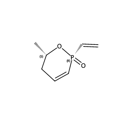 C=C[P@]1(=O)C=CC[C@H](C)O1